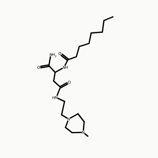 CCCCCCCC(=O)NC(CC(=O)NCCN1CCN(C)CC1)C(N)=O